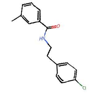 Cc1cccc(C(=O)NCCc2ccc(Cl)cc2)c1